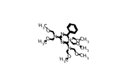 COCN(COC)C1=NC(c2ccccc2)[N+](COC)(COC)C(N(COC)COC)=N1